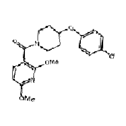 COc1ccc(C(=O)N2CCC(Oc3ccc(Cl)cc3)CC2)c(OC)n1